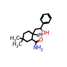 CC(C)C1(CC(O)c2ccccc2)CCC(C)(C)CC1C(N)=O